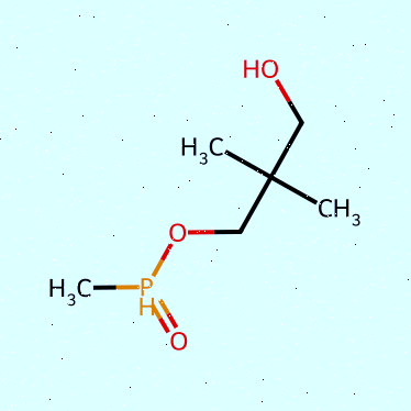 C[PH](=O)OCC(C)(C)CO